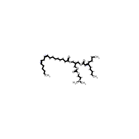 CCCCC/C=C\C/C=C\CCCCCCCC(=O)OCC(COC(=O)/C=C(\CCCC)CCCCC)COC(=O)OCCN(C)C